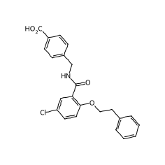 O=C(O)c1ccc(CNC(=O)c2cc(Cl)ccc2OCCc2ccccc2)cc1